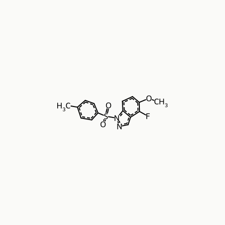 COc1ccc2c(cnn2S(=O)(=O)c2ccc(C)cc2)c1F